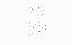 Clc1nc(-n2c3ccc(-c4cc5ccc6cccc7c6c5c(c4)n7-c4ccccc4)cc3c3c4c5ccccc5sc4c4ccccc4c32)c2c(n1)oc1ccccc12